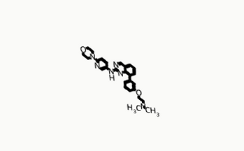 CN(C)CCOc1cccc(-c2cccc3cnc(Nc4ccc(N5CCOCC5)nc4)nc23)c1